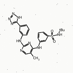 Cc1cnc(Nc2cccc(-c3nnn[nH]3)c2)nc1Nc1cccc(S(=O)(=O)NC(C)(C)C)c1